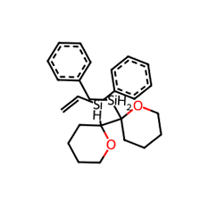 C=C[SiH](c1ccccc1)C1(C2([SiH2]Cc3ccccc3)CCCCO2)CCCCO1